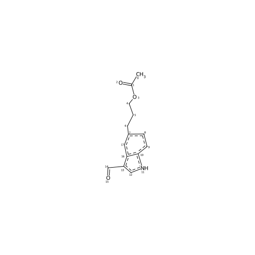 CC(=O)OCCCc1ccc2[nH]cc(C=O)c2c1